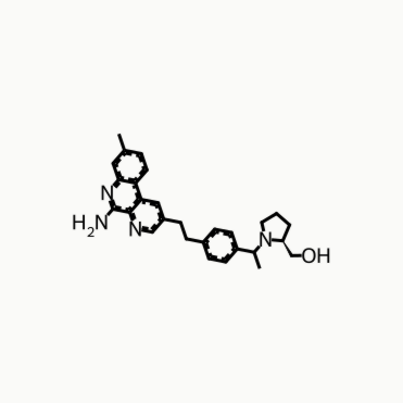 Cc1ccc2c(c1)nc(N)c1ncc(CCc3ccc(C(C)N4CCC[C@H]4CO)cc3)cc12